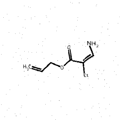 C=CCOC(=O)C(=CN)CC